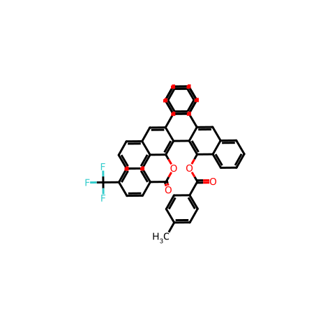 Cc1ccc(C(=O)Oc2c(-c3c(-c4ccccc4)cc4ccccc4c3OC(=O)c3ccc(C(F)(F)F)cc3)c(-c3ccccc3)cc3ccccc23)cc1